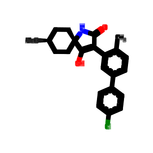 CO[C@H]1CC[C@@]2(CC1)NC(=O)C(c1cc(-c3ccc(Cl)cc3)ccc1C)=C2O